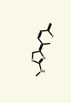 C=C(F)/C=C\C(C)=C1/CSC(NC)=N1